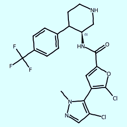 Cn1ncc(Cl)c1-c1cc(C(=O)N[C@@H]2CNCCC2c2ccc(C(F)(F)F)cc2)oc1Cl